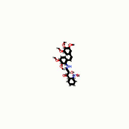 COc1cc(/C=C\c2ccc(OC)c(OC)c2N/C=C/C(=O)c2ccccc2[N+](=O)[O-])cc(OC)c1OC